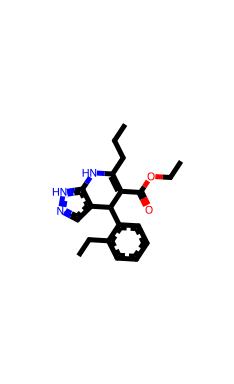 CCCC1=C(C(=O)OCC)C(c2ccccc2CC)c2cn[nH]c2N1